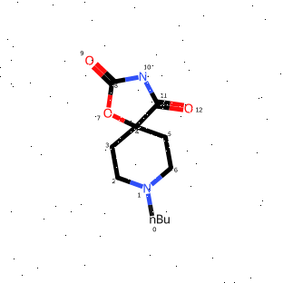 CCCCN1CCC2(CC1)OC(=O)[N]C2=O